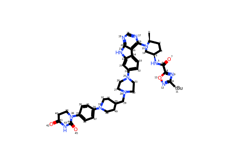 C[C@H]1CC[C@@H](NC(=O)c2nc(C(C)(C)C)no2)CN1c1ncnc2[nH]c3cc(N4CCN(CC5CCN(c6ccc(N7CCC(=O)NC7=O)cc6)CC5)CC4)ccc3c12